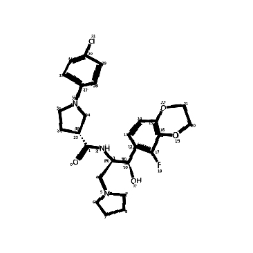 O=C(N[C@H](CN1CCCC1)[C@H](O)c1ccc2c(c1F)OCCO2)[C@@H]1CCN(c2ccc(Cl)cc2)C1